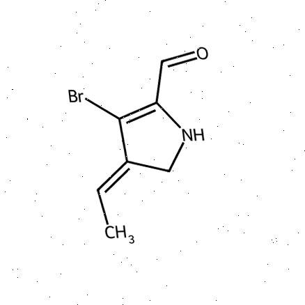 C/C=C1\CNC(C=O)=C1Br